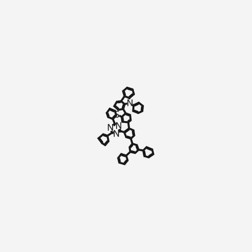 c1ccc(-c2cc(-c3ccccc3)cc(-c3ccc(-c4ccc5c(c4)sc4ccc6c7ccccc7n(-c7ccccc7)c6c45)c(-c4nc(-c5ccccc5)nc(-c5ccccc5)n4)c3)c2)cc1